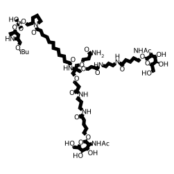 CC[C@@H](C)OCC1CC(OP(=O)(O)OCC2CCCN2C(=O)CCCCCCCCCCC(=O)NC(COCCC(N)=O)(COCCC(=O)NCCCNC(=O)CCCCO[C@@H]2OC(CO)[C@H](O)C(O)C2NC(C)=O)COCCC(=O)NCCCNC(=O)CCCCO[C@@H]2OC(CO)[C@H](O)C(O)C2NC(C)=O)CN1